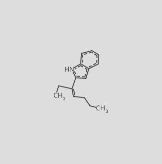 CCC/C=C(/CC)c1cc2ccccc2[nH]1